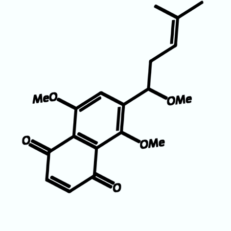 COc1cc(C(CC=C(C)C)OC)c(OC)c2c1C(=O)C=CC2=O